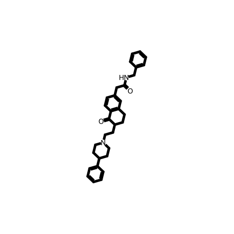 O=C(Cc1ccc2c(c1)CCC(CCN1CCC(c3ccccc3)CC1)C2=O)NCc1ccccc1